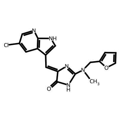 CN(Cc1ccco1)C1=N/C(=C\c2c[nH]c3ncc(Cl)cc23)C(=O)N1